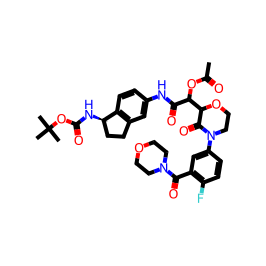 CC(=O)OC(C(=O)Nc1ccc2c(c1)CC[C@H]2NC(=O)OC(C)(C)C)C1OCCN(c2ccc(F)c(C(=O)N3CCOCC3)c2)C1=O